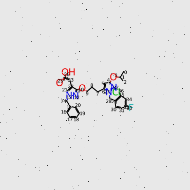 CC(C)Oc1cc(CCCOc2nn(Cc3ccccc3)cc2CC(=O)O)n(Cc2ccc(F)cc2Cl)n1